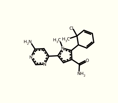 Cn1c(-c2cc(N)ncn2)cc(C(N)=O)c1C1C=CC=CC1(C)Cl